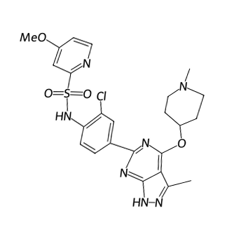 COc1ccnc(S(=O)(=O)Nc2ccc(-c3nc(OC4CCN(C)CC4)c4c(C)n[nH]c4n3)cc2Cl)c1